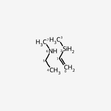 C=C[SiH2]C.CCNC